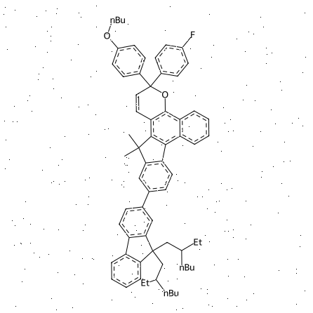 CCCCOc1ccc(C2(c3ccc(F)cc3)C=Cc3c4c(c5ccccc5c3O2)-c2ccc(-c3ccc5c(c3)C(CC(CC)CCCC)(CC(CC)CCCC)c3ccccc3-5)cc2C4(C)C)cc1